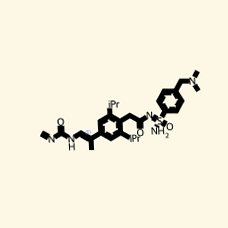 C=NC(=O)N/C=C(\C)c1cc(C(C)C)c(CC(=O)N=S(N)(=O)c2ccc(CN(C)C)cc2)c(C(C)C)c1